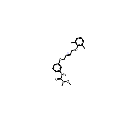 CON(C)C(=O)Nc1cccc(OC/C=C/COc2c(C)cccc2C)c1